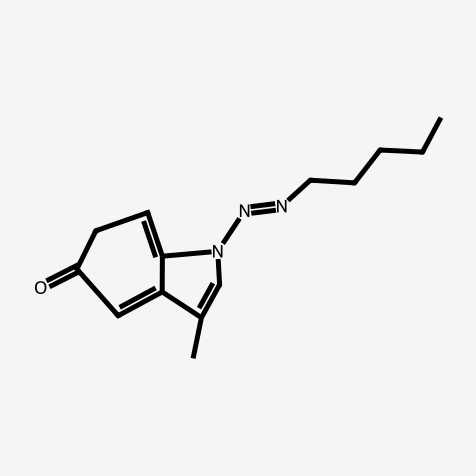 CCCCCN=Nn1cc(C)c2c1=CCC(=O)C=2